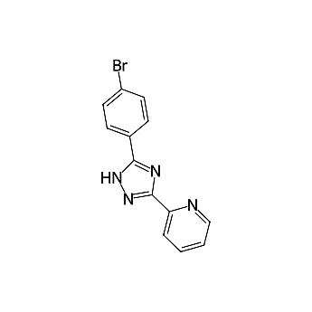 Brc1ccc(-c2nc(-c3ccccn3)n[nH]2)cc1